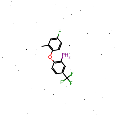 Cc1cc(F)ccc1Oc1ccc(C(F)(F)F)cc1P